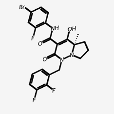 C[C@]12CCCN1N(Cc1cccc(F)c1F)C(=O)C(C(=O)Nc1ccc(Br)cc1F)=C2O